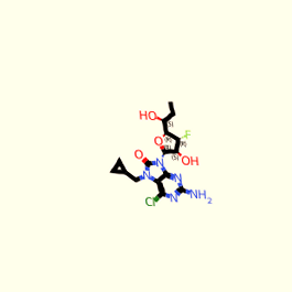 CC[C@H](O)[C@H]1O[C@@H](n2c(=O)n(CC3CC3)c3c(Cl)nc(N)nc32)[C@H](O)[C@H]1F